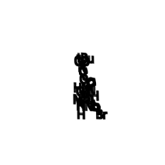 Cc1ccc(Br)cc1NC(=O)c1[nH]cnc1C(=O)Nc1nc2cccc(OC3CCN(C(=O)OC(C)(C)C)CC3)c2[nH]1